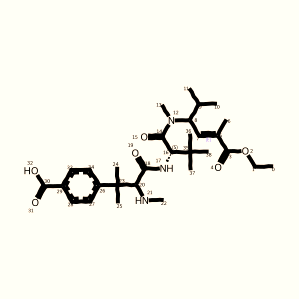 CCOC(=O)/C(C)=C/C(C(C)C)N(C)C(=O)[C@@H](NC(=O)C(NC)C(C)(C)c1ccc(C(=O)O)cc1)C(C)(C)C